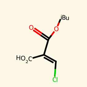 CCC(C)OC(=O)C(=CCl)C(=O)O